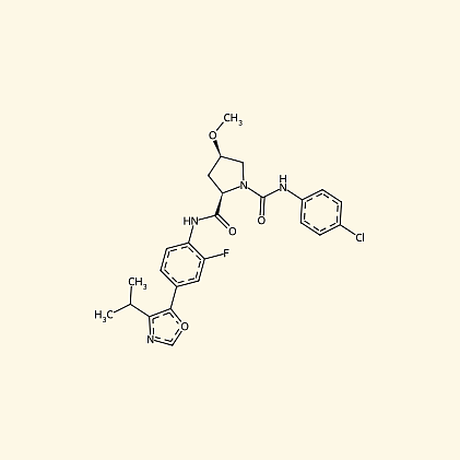 CO[C@@H]1C[C@H](C(=O)Nc2ccc(-c3ocnc3C(C)C)cc2F)N(C(=O)Nc2ccc(Cl)cc2)C1